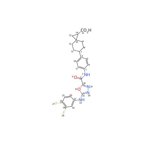 O=C(Nc1ccc(C2CCC3(CC2)CC3C(=O)O)cc1)c1nnc(Nc2ccc(F)c(F)c2)o1